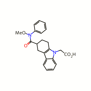 CON(C(=O)C1CCc2c(c3ccccc3n2CC(=O)O)C1)c1ccccc1